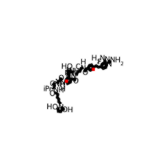 CC(C)[C@H](NC(=O)CCCCCN1C(O)C=CC1O)C(=O)N[C@@H](C)C(=O)Nc1ccc(C(=O)NCCC[C@H](NC(=O)c2ccc(CCc3ccc4nc(N)nc(N)c4c3F)cc2)C(=O)O)c(-c2nn[nH]n2)c1